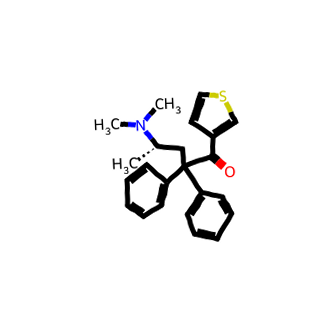 C[C@@H](CC(C(=O)c1ccsc1)(c1ccccc1)c1ccccc1)N(C)C